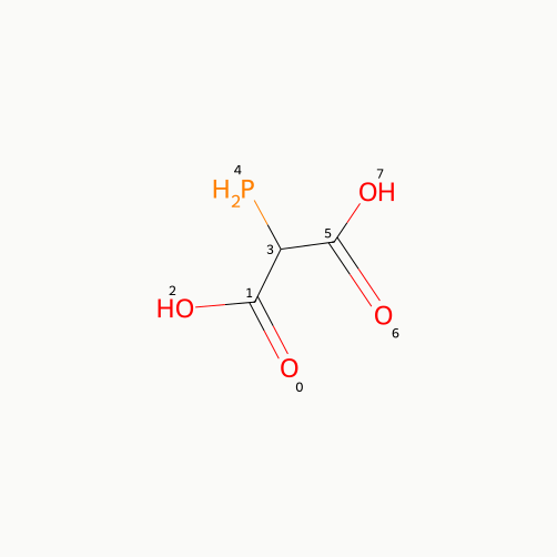 O=C(O)C(P)C(=O)O